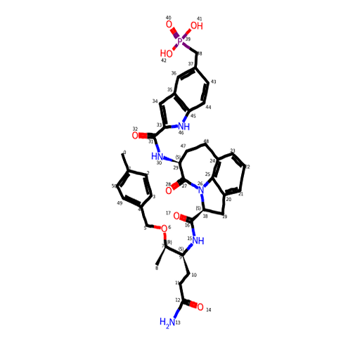 Cc1ccc(CO[C@H](C)[C@H](CCC(N)=O)NC(=O)[C@@H]2Cc3cccc4c3N2C(=O)[C@@H](NC(=O)c2cc3cc(CP(=O)(O)O)ccc3[nH]2)CC4)cc1